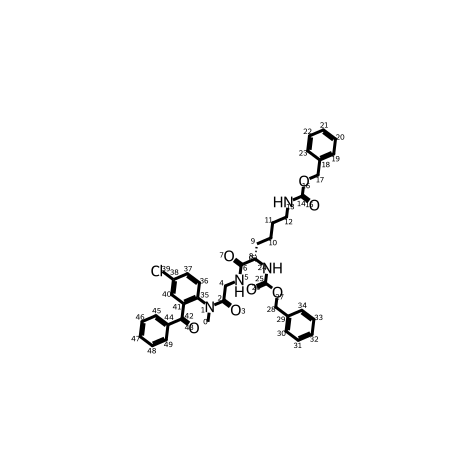 CN(C(=O)CNC(=O)[C@H](CCCCNC(=O)OCc1ccccc1)NC(=O)OCc1ccccc1)c1ccc(Cl)cc1C(=O)c1ccccc1